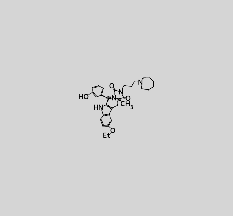 CCOc1ccc2[nH]c3c(c2c1)C[C@@]1(C)C(=O)N(CCCN2CCCCCC2)C(=O)N1[C@@H]3c1cccc(O)c1